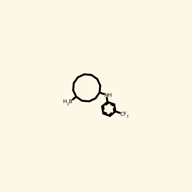 BC1CCCCCCCC(Nc2cccc(C(F)(F)F)c2)CCC1